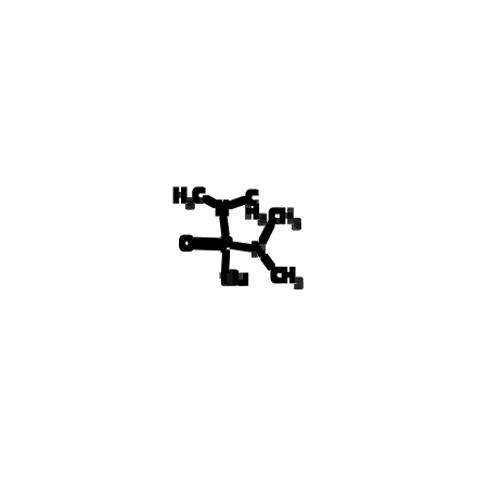 CN(C)P(=O)(N(C)C)C(C)(C)C